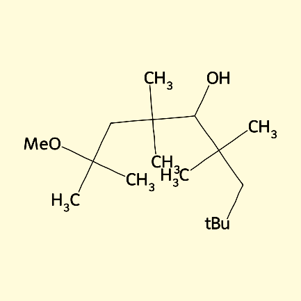 COC(C)(C)CC(C)(C)C(O)C(C)(C)CC(C)(C)C